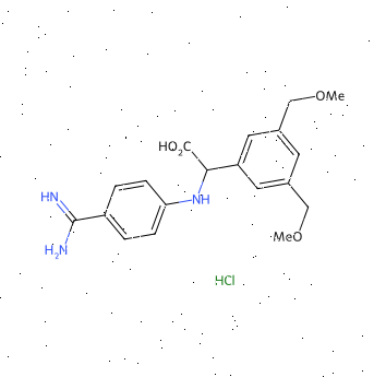 COCc1cc(COC)cc(C(Nc2ccc(C(=N)N)cc2)C(=O)O)c1.Cl